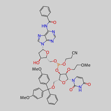 COCCO[C@@H]1[C@H](OP(OCCC#N)OC[C@H]2O[C@@H](n3cnc4c(NC(=O)c5ccccc5)ncnc43)C[C@@H]2O)[C@@H](COC(c2ccccc2)(c2ccc(OC)cc2)c2ccc(OC)cc2)O[C@H]1n1ccc(=O)[nH]c1=O